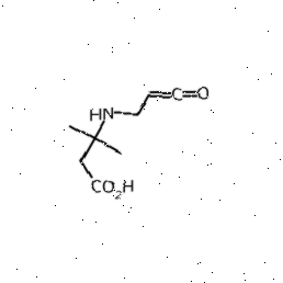 CC(C)(CC(=O)O)NCC=C=O